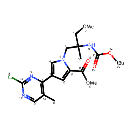 COCC(C)(Cn1cc(-c2nc(Cl)ncc2C)cc1C(=O)OC)NC(=O)OC(C)(C)C